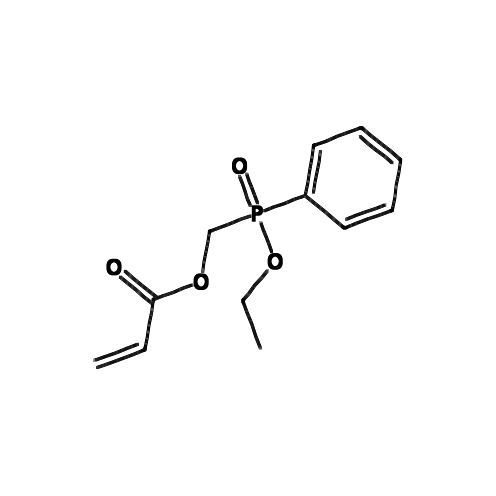 C=CC(=O)OCP(=O)(OCC)c1ccccc1